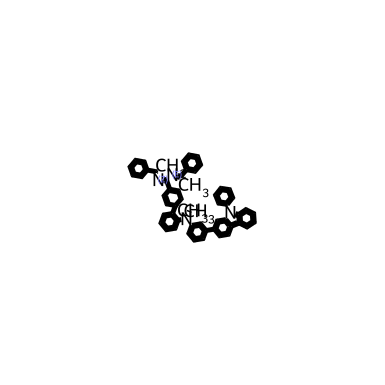 C=C(/N=C(\N=C(/C)c1ccccc1)C1=CCC(C)(c2ccccc2N(C)c2cccc(-c3ccc4c5ccccc5n(-c5ccccc5)c4c3)c2)C=C1)c1ccccc1